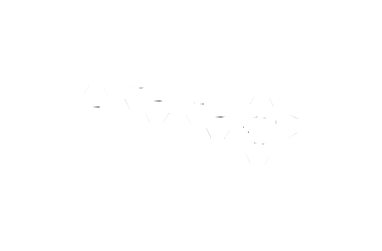 c1ccc(-c2ccc3cc(-c4ccc5cc(N(c6ccccc6)c6cccc7oc8ccccc8c67)ccc5c4)ccc3c2)cc1